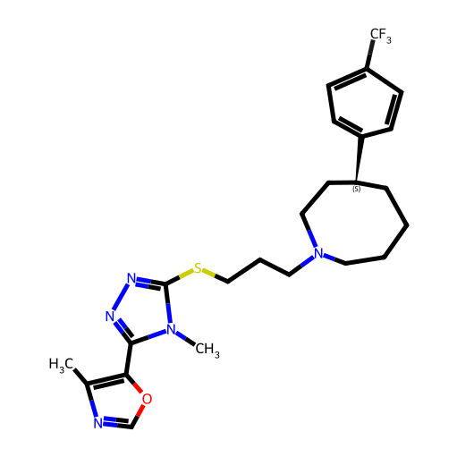 Cc1ncoc1-c1nnc(SCCCN2CCCC[C@H](c3ccc(C(F)(F)F)cc3)CC2)n1C